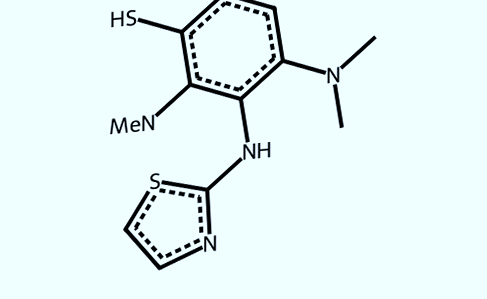 CNc1c(S)ccc(N(C)C)c1Nc1nccs1